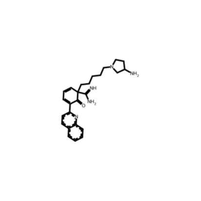 N=C(N)C1(CCCCCN2CCC(N)C2)C=CC=C(c2ccc3ccccc3n2)C1=O